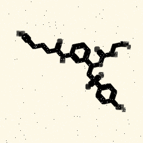 C#CCCCC(=O)Nc1cccc(C(CS(=O)(=O)c2ccc(C)cc2)OC(=O)NCN)c1